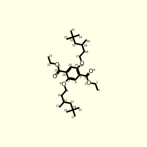 CCOC(=O)c1cc(OCCC(C)CC(C)(C)C)c(C(=O)OCC)cc1OCCC(C)CC(C)(C)C